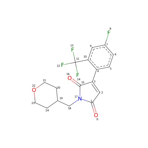 O=C1C=C(c2ccc(F)cc2C(F)(F)F)C(=O)N1CC1CCOCC1